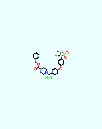 CS(=O)(=O)[AsH]c1ccc(Oc2ccc(CN3CCC(C(=O)OCc4ccccc4)CC3)cc2)cc1.Cl